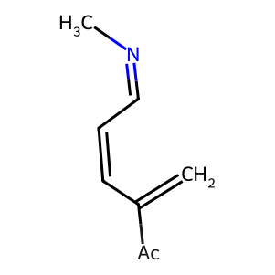 C=C(/C=C\C=N/C)C(C)=O